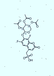 CC(=O)OC1[C@H](OC(C)=O)CO[C@@H](Oc2c(F)cc3c(CS(=O)(=O)O)cc(=O)oc3c2F)[C@H]1OC(C)=O